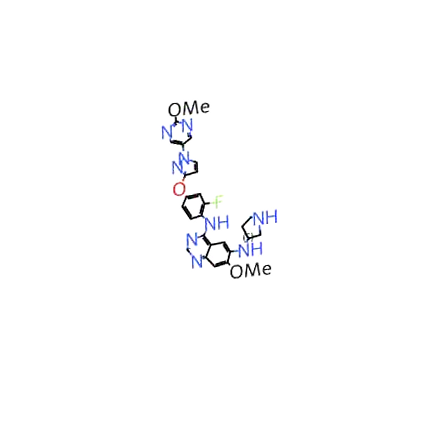 COc1ncc(-n2ccc(Oc3ccc(Nc4ncnc5cc(OC)c(N[C@H]6CCNC6)cc45)c(F)c3)n2)cn1